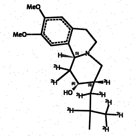 [2H]C1([2H])[C@@H](O)[C@@]([2H])(C([2H])([2H])C([2H])(C)C([2H])([2H])[2H])CN2CCc3cc(OC)c(OC)cc3[C@@H]21